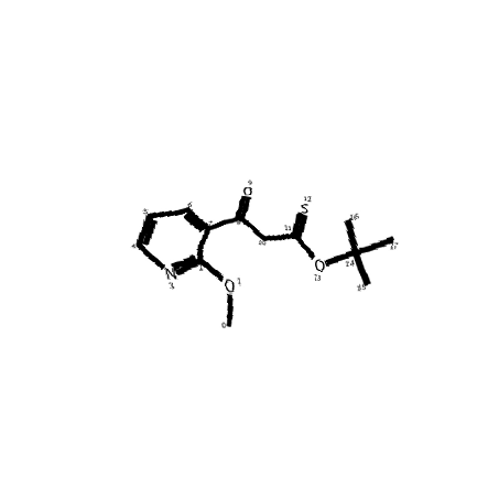 COc1ncccc1C(=O)CC(=S)OC(C)(C)C